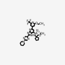 CCOc1cc(-c2cc(N(C)CC3(COC)CCCC3)c3[nH]c(-c4cnc(N5CCCCC5)cn4)nc3n2)cc(C(F)(F)F)n1